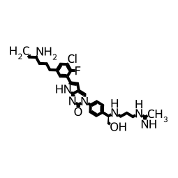 C=C[C@@H](N)CCCc1cc(Cl)c(F)c(-c2cc3cn(-c4ccc([C@H](CO)NCCCNC(C)=N)cc4)c(=O)nc3[nH]2)c1